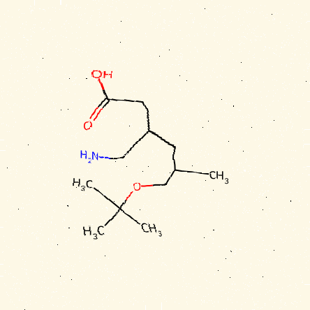 CC(COC(C)(C)C)CC(CN)CC(=O)O